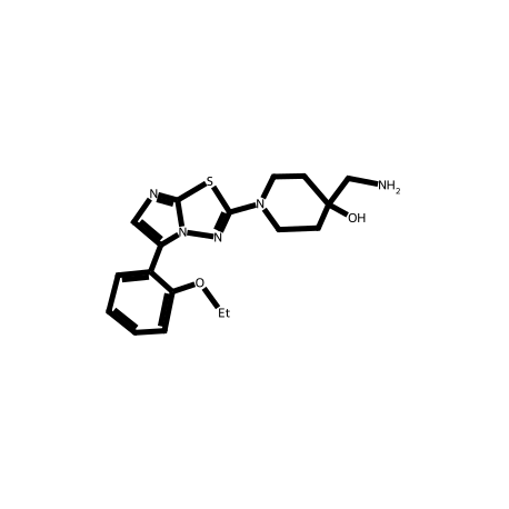 CCOc1ccccc1-c1cnc2sc(N3CCC(O)(CN)CC3)nn12